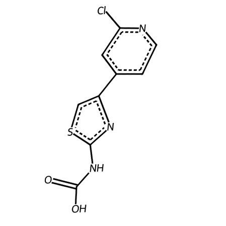 O=C(O)Nc1nc(-c2ccnc(Cl)c2)cs1